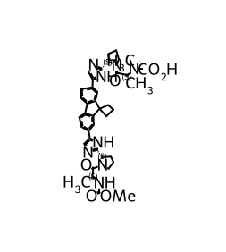 COC(=O)N[C@@H](C)C(=O)N1CCC[C@H]1c1ncc(-c2ccc3c(c2)C2(CCC2)c2cc(-c4cnc([C@@H]5CCCN5C(=O)[C@H](C)N(C)C(=O)O)[nH]4)ccc2-3)[nH]1